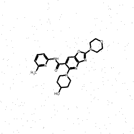 Cc1cccc(NC(=O)c2cc3oc(N4CCOCC4)nc3nc2N2CCC(O)CC2)n1